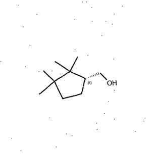 CC1(C)CC[C@@H](CO)C1(C)C